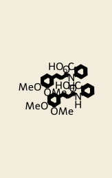 COc1ccc(C=CC(=O)Nc2ccccc2C(=O)O)cc1OC.COc1ccc(C=CC(=O)Nc2ccccc2C(=O)O)cc1OC